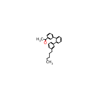 CCCCCc1cccc(-c2ccccc2-c2cccc(C(C)=O)c2)c1